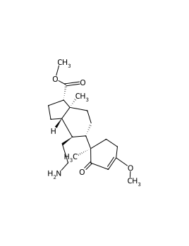 COC(=O)[C@H]1CC[C@H]2[C@H](CCN)[C@@H]([C@@]3(C)CCC(OC)=CC3=O)CC[C@]12C